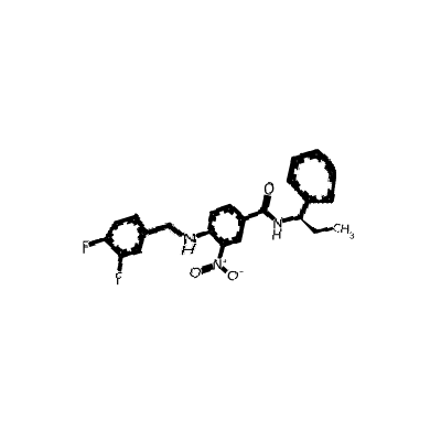 CC[C@@H](NC(=O)c1ccc(NCc2ccc(F)c(F)c2)c([N+](=O)[O-])c1)c1ccccc1